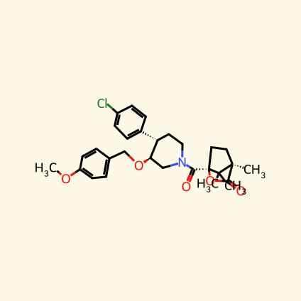 COc1ccc(CO[C@@H]2CN(C(=O)[C@@]34CC[C@@](C)(C(=O)O3)C4(C)C)CC[C@H]2c2ccc(Cl)cc2)cc1